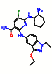 CCOc1nn(CC)c2ccc(Nc3nc(N[C@@H]4CCCC[C@@H]4N)c(F)cc3C(N)=O)cc12